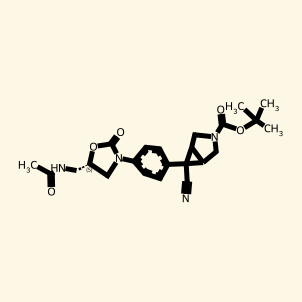 CC(=O)NC[C@H]1CN(c2ccc(C3(C#N)C4CN(C(=O)OC(C)(C)C)CC43)cc2)C(=O)O1